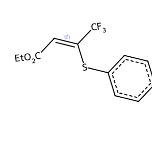 CCOC(=O)/C=C(\Sc1ccccc1)C(F)(F)F